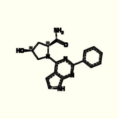 NC(=O)[C@@H]1C[C@H](O)CN1c1nc(-c2ccccc2)nc2[nH]ccc12